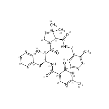 Cc1ccccc1CNC(=O)[C@H]1N(C(=O)[C@@H](O)[C@H](Cc2ccccc2)NC(=O)c2cnc(C(F)(F)F)[nH]c2=O)CSC1(C)C